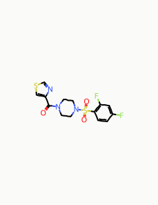 O=C(c1cscn1)N1CCN(S(=O)(=O)c2ccc(F)cc2F)CC1